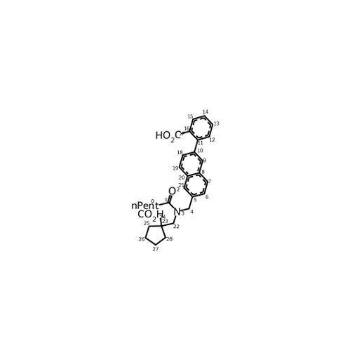 CCCCCC(=O)N(Cc1ccc2cc(-c3ccccc3C(=O)O)ccc2c1)CC1(C(=O)O)CCCC1